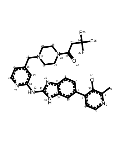 Cc1nccc(-c2ccc3nc(Nc4cc(CN5CCN(C(=O)CC(F)(F)F)CC5)ccn4)[nH]c3c2)c1Cl